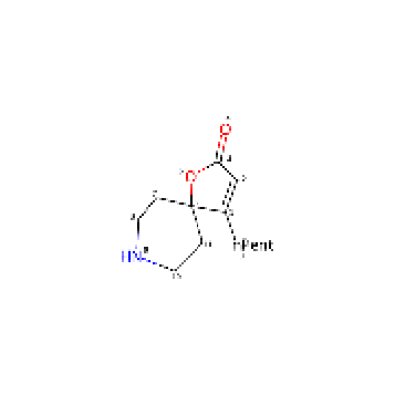 CCCCCC1=CC(=O)OC12CCNCC2